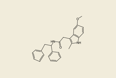 COc1ccc2[nH]c(C)c(CC(=O)NC(Cc3ccccc3)c3ccccc3)c2c1